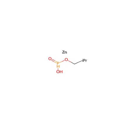 CC(C)CO[PH](=O)O.[Zn]